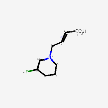 O=C(O)/C=C/CN1CCCC(F)C1